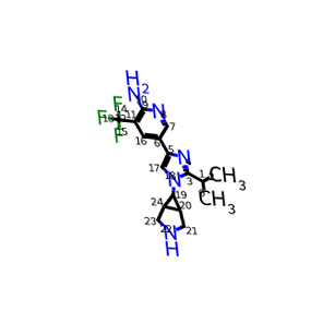 CC(C)c1nc(-c2cnc(N)c(C(F)(F)F)c2)cn1C1C2CNCC21